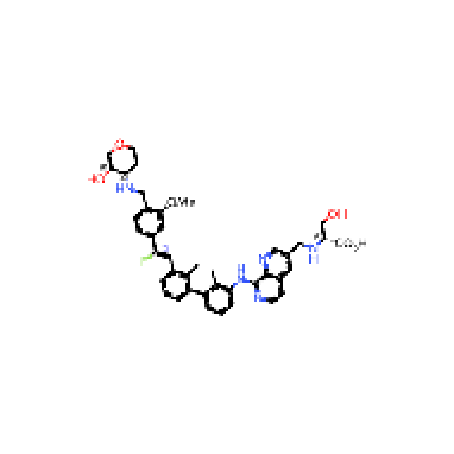 COc1cc(/C(F)=C/c2cccc(-c3cccc(Nc4nccc5cc(CN[C@H](CO)C(=O)O)cnc45)c3C)c2C)ccc1CN[C@H]1CCOC[C@@H]1O